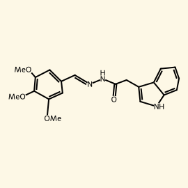 COc1cc(C=NNC(=O)Cc2c[nH]c3ccccc23)cc(OC)c1OC